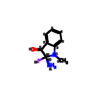 CN1c2ccccc2C(=O)[C@@]1(N)I